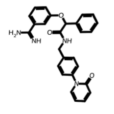 N=C(N)c1cccc(OC(C(=O)NCc2ccc(-n3ccccc3=O)cc2)c2ccccc2)c1